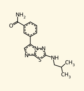 CC(C)CNc1nn2c(-c3cccc(C(N)=O)c3)cnc2s1